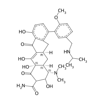 COc1ccc(CNC(C)C)cc1-c1ccc(O)c2c1C[C@H]1C[C@H]3[C@H](N(C)C)C(O)C(C(N)=O)C(=O)[C@@]3(O)C(O)=C1C2=O